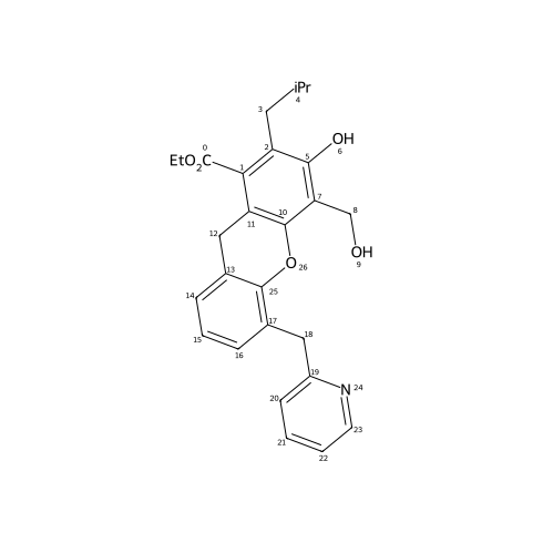 CCOC(=O)c1c(CC(C)C)c(O)c(CO)c2c1Cc1cccc(Cc3ccccn3)c1O2